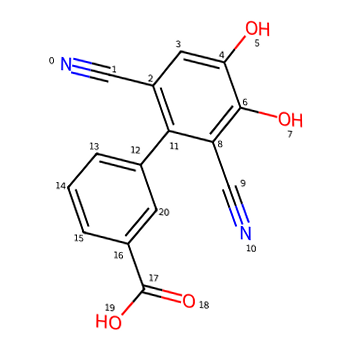 N#Cc1cc(O)c(O)c(C#N)c1-c1cccc(C(=O)O)c1